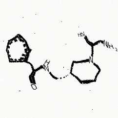 N=C(N)N1CCC[C@H](CNC(=O)c2ccccc2)C1